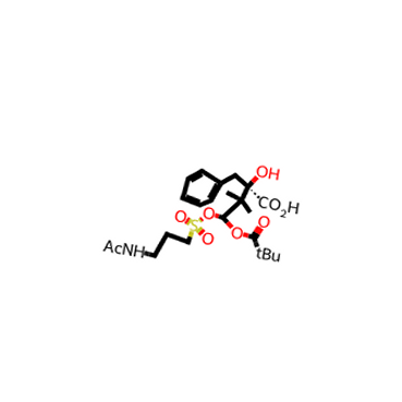 CC(=O)NCCCS(=O)(=O)OC(OC(=O)C(C)(C)C)C(C)(C)[C@](O)(Cc1ccccc1)C(=O)O